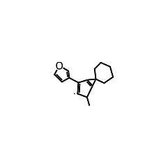 CC1[C]=C(c2ccoc2)C2=C1C21CCCCC1